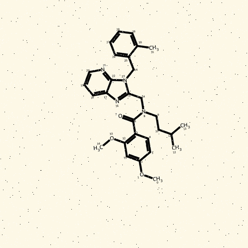 COc1ccc(C(=O)N(CCC(C)C)Cc2nc3cccnc3n2Cc2ccccc2C)c(OC)c1